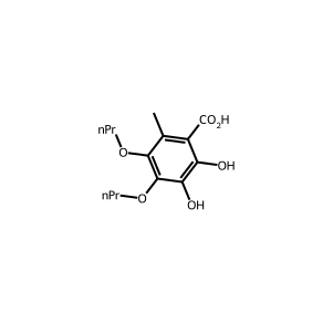 CCCOc1c(C)c(C(=O)O)c(O)c(O)c1OCCC